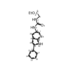 CCOC(=O)CNC(=O)Nc1cnc2[nH]c(-c3ccccc3)cc2c1